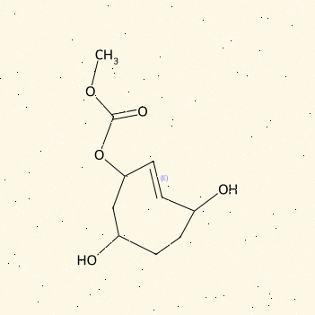 COC(=O)OC1/C=C/C(O)CCC(O)C1